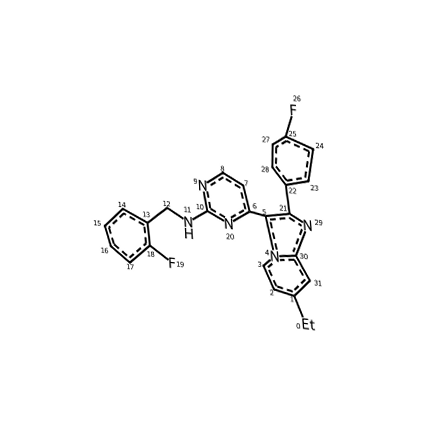 CCc1ccn2c(-c3ccnc(NCc4ccccc4F)n3)c(-c3ccc(F)cc3)nc2c1